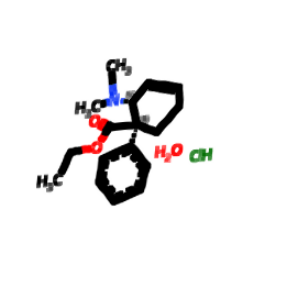 CCOC(=O)[C@]1(c2ccccc2)CCC=C[C@H]1N(C)C.Cl.O